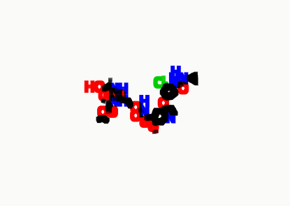 COc1cc2nccc(Oc3ccc(NC(=O)NC4CC4)c(Cl)c3)c2cc1C(=O)NC(=O)OCCCOP(=O)(N[C@@H](C)C(=O)O)N[C@@H](C)C(=O)OC(C)C